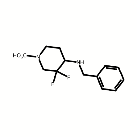 O=C(O)N1CCC(NCc2ccccc2)C(F)(F)C1